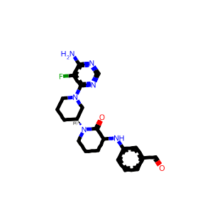 Nc1ncnc(N2CCC[C@@H](N3CCCC(Nc4cccc(C=O)c4)C3=O)C2)c1F